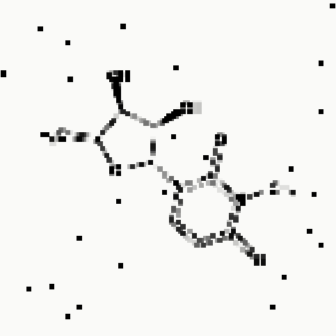 C=C1O[C@@H](n2ccc(=O)n(C)c2=O)[C@H](O)[C@@H]1O